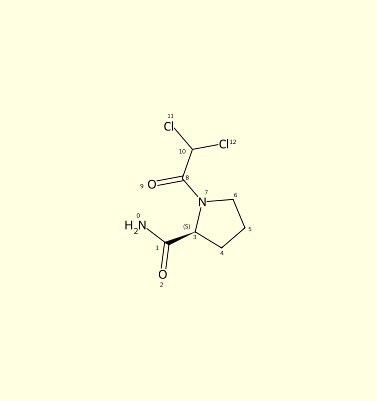 NC(=O)[C@@H]1CCCN1C(=O)C(Cl)Cl